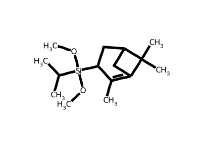 CO[Si](OC)(C(C)C)C1CC2CC(=C1C)C2(C)C